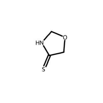 S=C1COCN1